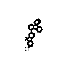 CC1(C)c2cc(Cl)ccc2-c2ccc(-c3cccc4c3-c3ccccc3C43CC4CCC3C4)cc21